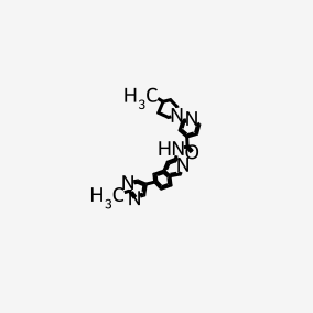 Cc1ncc(-c2ccc3cnc(NC(=O)c4ccnc(N5CCC(C)CC5)c4)cc3c2)cn1